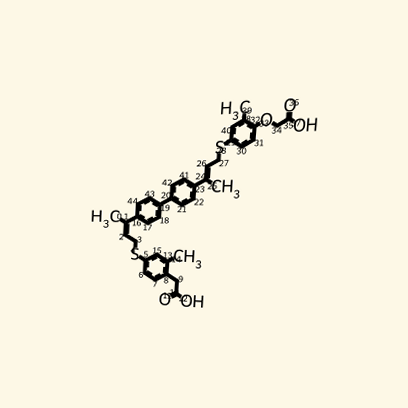 CC(=CCSc1ccc(CC(=O)O)c(C)c1)c1ccc(-c2ccc(C(C)=CCSc3ccc(OCC(=O)O)c(C)c3)cc2)cc1